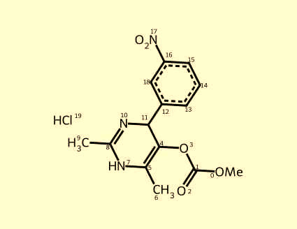 COC(=O)OC1=C(C)NC(C)=NC1c1cccc([N+](=O)[O-])c1.Cl